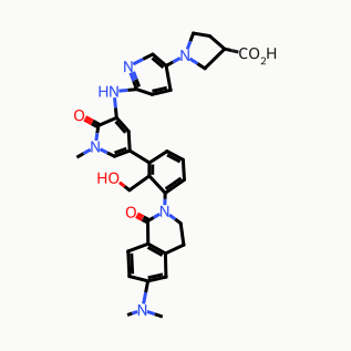 CN(C)c1ccc2c(c1)CCN(c1cccc(-c3cc(Nc4ccc(N5CCC(C(=O)O)C5)cn4)c(=O)n(C)c3)c1CO)C2=O